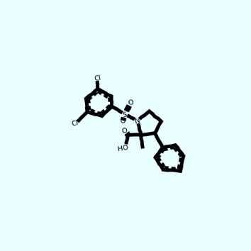 CC1(C(=O)O)C(c2ccccc2)CCN1S(=O)(=O)c1cc(Cl)cc(Cl)c1